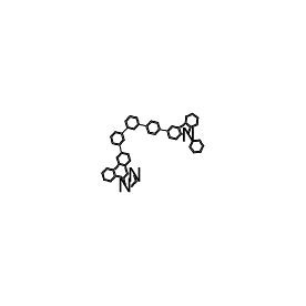 c1ccc(-n2c3ccccc3c3cc(-c4ccc(-c5cccc(-c6cccc(-c7ccc8c(c7)c7ccccc7c7nccnc87)c6)c5)cc4)ccc32)cc1